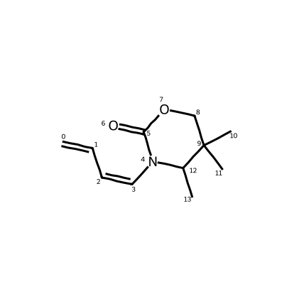 C=C/C=C\N1C(=O)OCC(C)(C)C1C